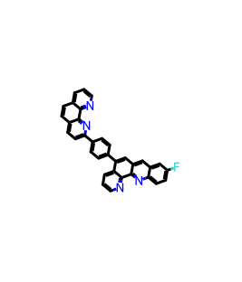 Fc1ccc2nc3c(cc(-c4ccc(-c5ccc6ccc7cccnc7c6n5)cc4)c4cccnc43)cc2c1